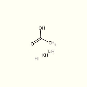 CC(=O)O.I.[KH].[LiH]